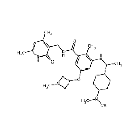 Cc1cc(C)c(CNC(=O)c2cc(OC3CN(C)C3)cc(NC(C)C3CCC(N(C)C)CC3)c2C)c(=O)[nH]1